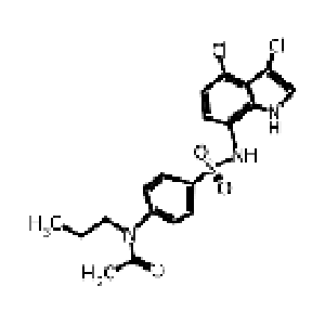 CCCN(C(C)=O)c1ccc(S(=O)(=O)Nc2ccc(Cl)c3c(Cl)c[nH]c23)cc1